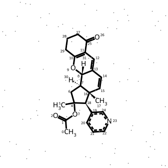 CC(=O)OC1(C)C[C@H]2[C@@H]3OC4=C(C=C3C=C[C@]2(C)[C@H]1c1cccnc1)C(=O)CCC4